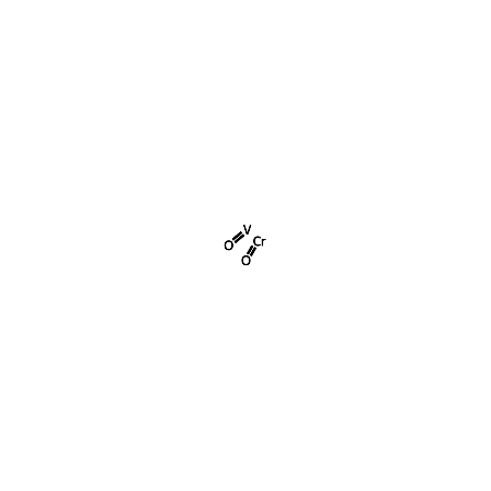 [O]=[Cr].[O]=[V]